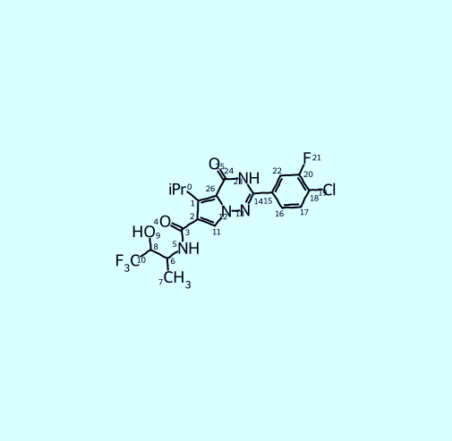 CC(C)c1c(C(=O)NC(C)C(O)C(F)(F)F)cn2nc(-c3ccc(Cl)c(F)c3)[nH]c(=O)c12